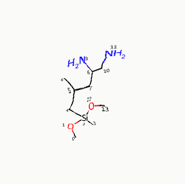 CO[Si](C)(CC(C)CC(N)CN)OC